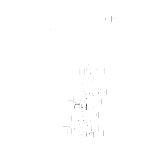 CCCCCCCCCCCCC/C=C/[C@@H](O)[C@H](CO[C@@H]1OC(CO)[C@@H](O[C@@H]2OC(CO)[C@H](O)[C@H](O[C@H]3OC(CO)[C@H](O)[C@H](O[C@@H]4OC(CO)[C@@H](O)[C@H](O)C4NC(C)=O)C3O)C2O)[C@H](O)C1O)NC(=O)CCCCCCCCCCCCCCC